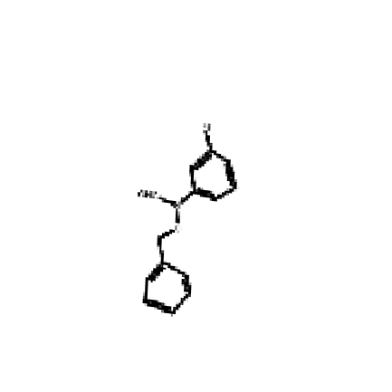 [CH2]Cc1cccc(N(C=O)OCc2ccccc2)c1